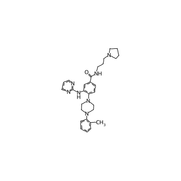 Cc1ccccc1N1CCN(c2ccc(C(=O)NCCCN3CCCC3)cc2Nc2ncccn2)CC1